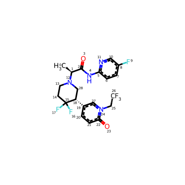 C[C@@H](C(=O)Nc1ccc(F)cn1)N1CCC(F)(F)[C@@H](c2ccc(=O)n(CC(F)(F)F)c2)C1